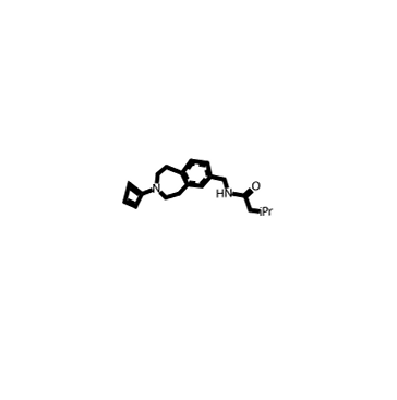 CC(C)CC(=O)NCc1ccc2c(c1)CCN(C1=CC=C1)CC2